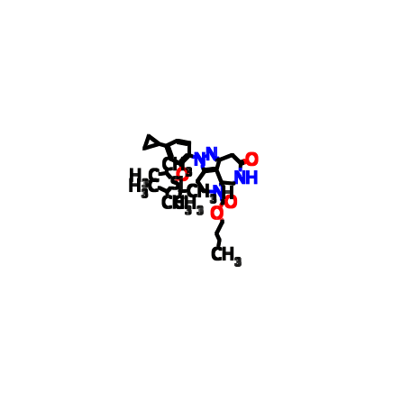 CCCCOC(=O)N1CCc2c3c(nn2-c2ccc(C4CC4)cc2O[Si](C(C)C)(C(C)C)C(C)C)CC(=O)NC[C@@H]31